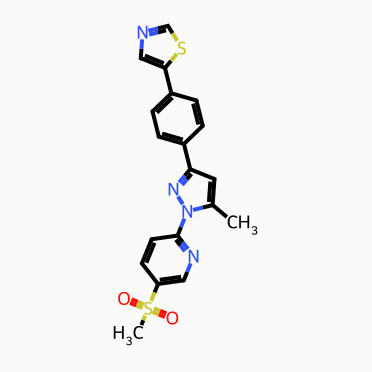 Cc1cc(-c2ccc(-c3cncs3)cc2)nn1-c1ccc(S(C)(=O)=O)cn1